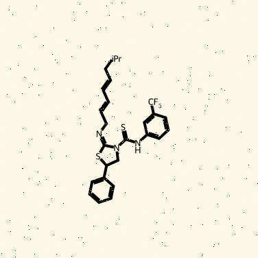 CC(C)CC=CC=CCN=C1SC(c2ccccc2)CN1C(=S)Nc1cccc(C(F)(F)F)c1